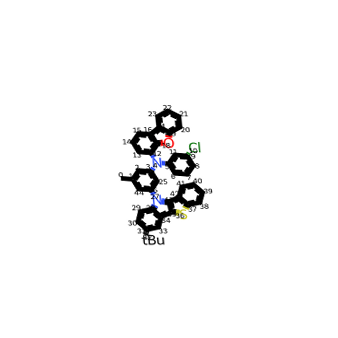 Cc1cc(N(c2cccc(Cl)c2)c2cccc3c2oc2ccccc23)cc(-n2c3ccc(C(C)(C)C)cc3c3sc4ccccc4c32)c1